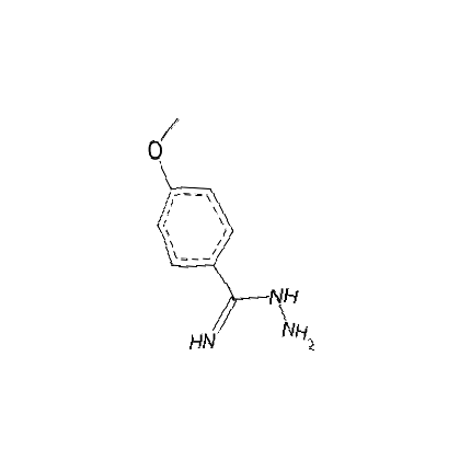 COc1ccc(C(=N)NN)cc1